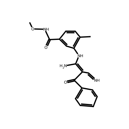 CONC(=O)c1ccc(C)c(N/C(N)=C(\C=N)C(=O)c2ccccc2)c1